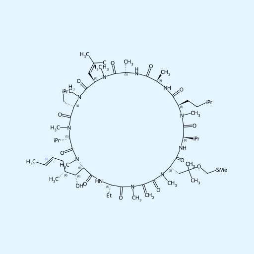 C=C1C(=O)N(C)[C@@H](CC(C)(C)OCSC)C(=O)N[C@H](C(C)C)C(=O)N(C)[C@H](CCC(C)C)C(=O)N[C@H](C)C(=O)N[C@@H](C)C(=O)N(C)[C@H](C=C(C)C)C(=O)N(C)[C@@H](CC(C)C)C(=O)N(C)[C@@H](C(C)C)C(=O)N(C)[C@@H]([C@H](O)[C@H](C)C/C=C/C)C(=O)N[C@@H](CC)C(=O)N1C